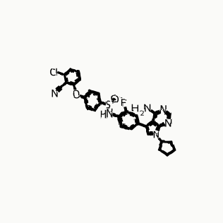 N#Cc1c(Cl)cccc1Oc1ccc([S+]([O-])Nc2ccc(-c3cn(C4CCCC4)c4ncnc(N)c34)cc2F)cc1